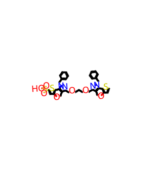 O=S(=O)(O)c1cc2c(s1)-c1c(c(COCCCOCc3nn(Cc4ccccc4)c4c3COc3ccsc3-4)nn1Cc1ccccc1)CO2